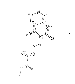 C=C(CC)C(=O)OCCn1c(=O)[nH]c2ccccc2c1=O